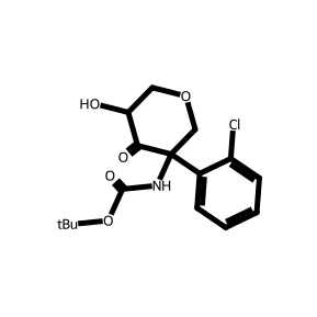 CC(C)(C)OC(=O)NC1(c2ccccc2Cl)COCC(O)C1=O